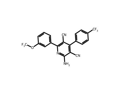 N#Cc1c(N)nc(-c2cccc(OC(F)(F)F)c2)c(C#N)c1-c1ccc(C(F)(F)F)cc1